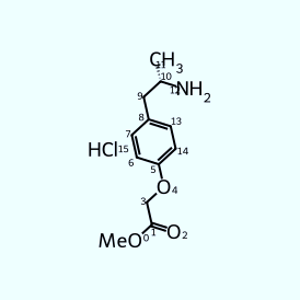 COC(=O)COc1ccc(C[C@H](C)N)cc1.Cl